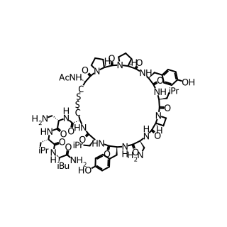 CC[C@H](C)[C@H](NC(=O)[C@H](CC(C)C)NC(=O)[C@H](CN)NC(=O)[C@@H]1CSSC[C@H](NC(C)=O)C(=O)N2CCC[C@H]2C(=O)N2CCC[C@H]2C(=O)N[C@@H](Cc2ccc(O)cc2)C(=O)N[C@@H](CC(C)C)C(=O)N2CC[C@H]2C(=O)N[C@@H](CN)C(=O)N[C@@H](Cc2ccc(O)cc2)C(=O)N[C@@H](CC(C)C)C(=O)N1)C(N)=O